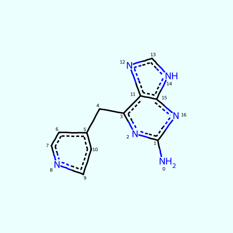 Nc1nc(Cc2ccncc2)c2nc[nH]c2n1